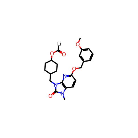 [Li][C](=O)OC1CCC(Cn2c(=O)n(C)c3ccc(OCc4cccc(OC)c4)nc32)CC1